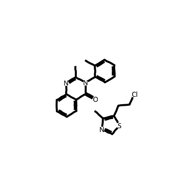 Cc1ccccc1-n1c(C)nc2ccccc2c1=O.Cc1ncsc1CCCl